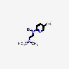 CCN(CCN(C)C(=O)O)c1ccc(C#N)cn1